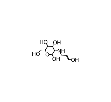 OC=CCN[C@H]1C(O)O[C@H](CO)[C@@H](O)[C@@H]1O